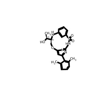 Cc1cccc(C)c1-c1cc2nc(n1)NS(=O)(=O)c1cccc(c1)N[C@H]([C@H](C)O)CO2